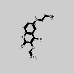 C=COc1c(O)c2cc(OCCO)ccc2oc1=O